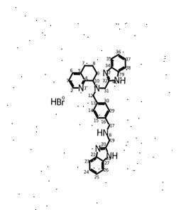 Br.c1cnc2c(c1)CCCC2N(Cc1ccc(CNCc2nc3ccccc3[nH]2)cc1)Cc1nc2ccccc2[nH]1